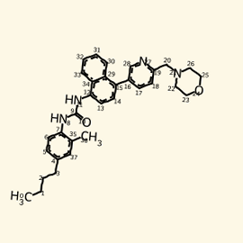 CCCCc1ccc(NC(=O)Nc2ccc(-c3ccc(CN4CCOCC4)nc3)c3ccccc23)c(C)c1